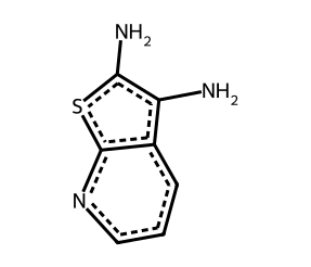 Nc1sc2ncccc2c1N